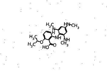 CNc1cc(NC)c(Nc2cccc(OC(C)C)c2C(=O)O)c(NC)c1